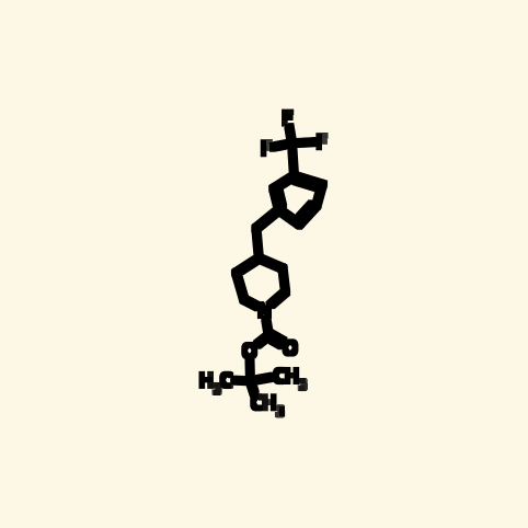 CC(C)(C)OC(=O)N1CCC(Cc2cccc(C(F)(F)F)c2)CC1